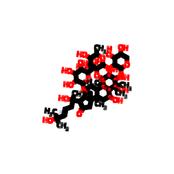 CC1OC(OC2C(OC3CCC4(C)C(CCC5(C)C4CCC4C(C(C)(O)C/C=C/C(C)(C)O)C(=O)CC45COC4OC(CO)C(O)C(O)C4O)C3(C)C)OCC(O)C2O)C(OC2OC(CO)C(O)C(O)C2O)C(O)C1O